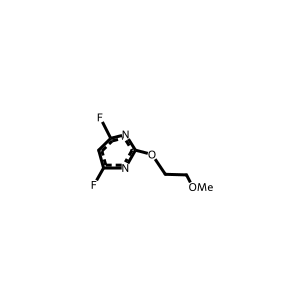 COCCOc1nc(F)cc(F)n1